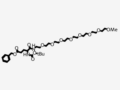 COCCOCCOCCOCCOCCOCCOCCOCCNC(=O)C(CCC(=O)OCc1ccccc1)NC(=O)OC(C)(C)C